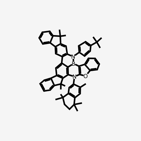 Cc1cc2c(cc1N1c3oc4ccccc4c3B3c4c(cc5c(c41)C(C)(C)c1ccccc1-5)-c1cc4c(cc1N3c1ccc(C(C)(C)C)cc1)C(C)(C)c1ccccc1-4)C(C)(C)CCC2(C)C